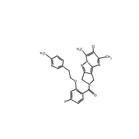 Cc1ccc(CCOc2cc(F)ccc2C(=O)N2Cc3nn4c(C)c(Cl)c(C)nc4c3C2)cn1